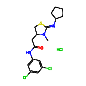 CN1C(=NC2CCCC2)SCC1CC(=O)Nc1cc(Cl)cc(Cl)c1.Cl